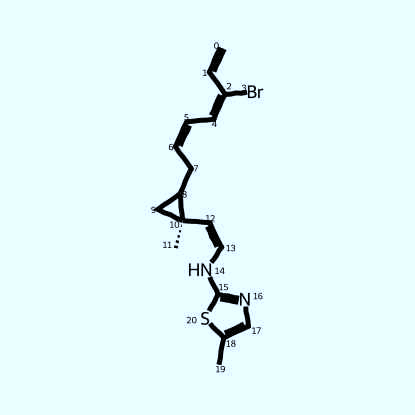 C=C/C(Br)=C\C=C/CC1C[C@]1(C)/C=C\Nc1ncc(C)s1